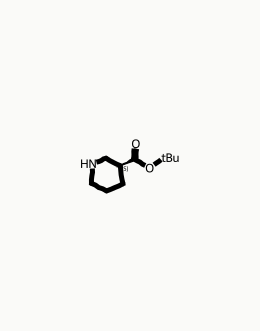 CC(C)(C)OC(=O)[C@H]1CCCNC1